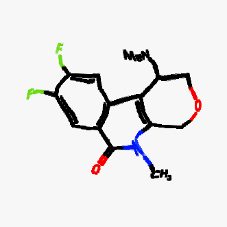 CNC1COCc2c1c1cc(F)c(F)cc1c(=O)n2C